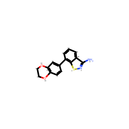 Nc1nsc2c(-c3ccc4c(c3)OCCO4)cccc12